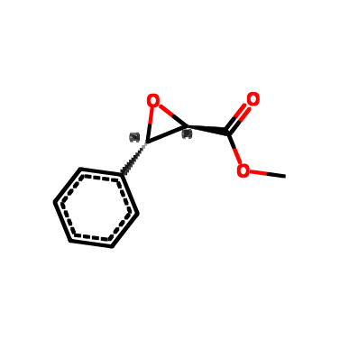 COC(=O)[C@@H]1O[C@H]1c1ccccc1